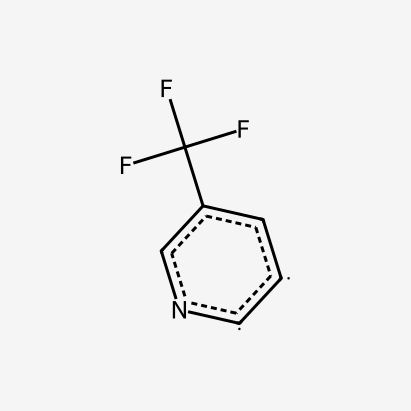 FC(F)(F)c1c[c][c]nc1